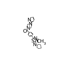 Cn1nc(-c2ccc(C(=O)N3CCN(c4ccccn4)CC3)cc2)s/c1=N/C1CCCCC1